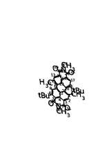 Cc1cc2c3c(c(C(C)(C)C)cc4c5c(C)cc6c7c(cc(C(C)(C)C)c(c1c34)c75)C(=O)N(C)C6=O)C(=O)N(C)C2=O